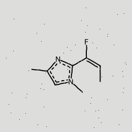 C/C=C(/F)c1nc(C)cn1C